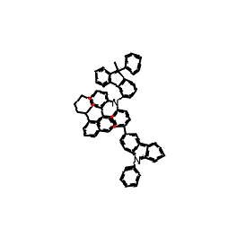 CC1(c2ccccc2)c2ccccc2-c2c(N(c3ccc(-c4ccc5c(c4)c4ccccc4n5-c4ccccc4)cc3)c3ccccc3-c3cccc4cccc(C5CCCCC5)c34)cccc21